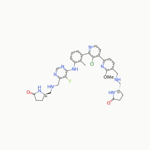 COc1nc(-c2ccnc(-c3cccc(Nc4ncnc(CNC[C@H]5CCC(=O)N5)c4F)c3C)c2Cl)ccc1CNC[C@@H]1CCC(=O)N1